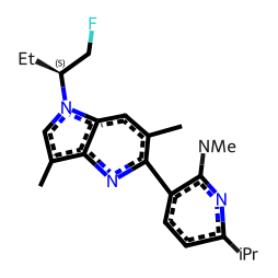 CC[C@@H](CF)n1cc(C)c2nc(-c3ccc(C(C)C)nc3NC)c(C)cc21